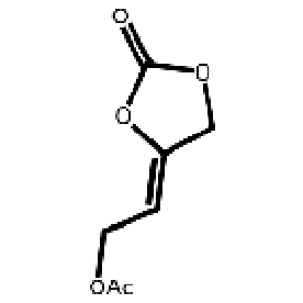 CC(=O)OC/C=C1/COC(=O)O1